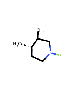 CC1CN(F)CC[C@@H]1C